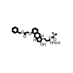 CCCCC[C@@H](CC[C@@H]1[C@H]2Cc3cccc(OCC(=O)OCc4ccccc4)c3C[C@H]2C[C@H]1O)OC(=O)N(C)C